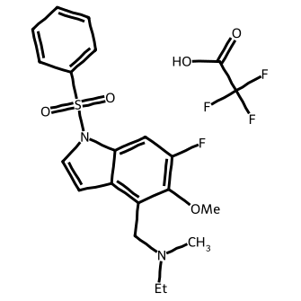 CCN(C)Cc1c(OC)c(F)cc2c1ccn2S(=O)(=O)c1ccccc1.O=C(O)C(F)(F)F